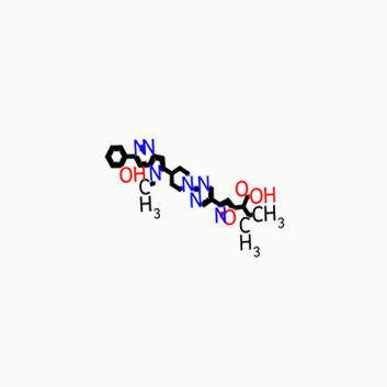 CCn1c(C2CCN(c3ncc(-c4cc(C(C(=O)O)C(C)C)on4)cn3)CC2)cc2nnc(-c3ccccc3O)cc21